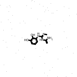 C=C(N)N/C(=N\C)Nc1cccc(O)c1O